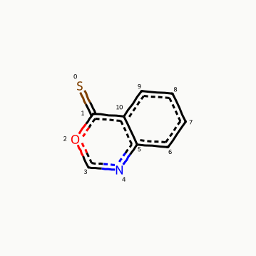 S=c1ocnc2ccccc12